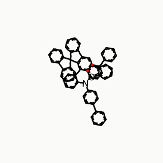 c1ccc(-c2ccc(N(c3ccc(-c4ccccc4)cc3)c3ccccc3-c3c4c(cc5c3oc3ccccc35)-c3ccccc3C43c4ccccc4-c4ccccc43)cc2)cc1